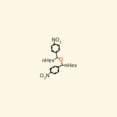 CCCCCCC(OC(CCCCCC)c1ccc([N+](=O)[O-])cc1)c1ccc([N+](=O)[O-])cc1